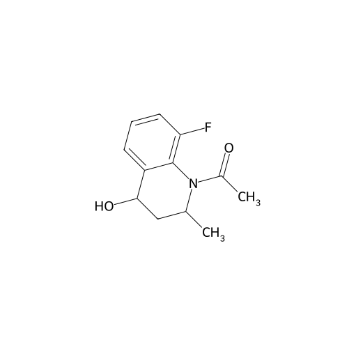 CC(=O)N1c2c(F)cccc2C(O)CC1C